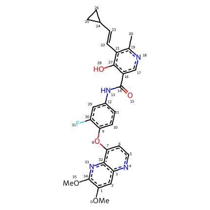 COc1cc2nccc(Oc3ccc(NC(=O)c4cnc(C)c(/C=C/C5CC5)c4O)cc3F)c2nc1OC